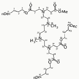 CCCCCCCCCCCCCOC(=O)CCN(CCC(=O)OC)CCN(C)CCCN(C)CCN(CCC(=O)OCCCCCCCCCCCCC)CCC(=O)OCCCCCCCCCCCCC